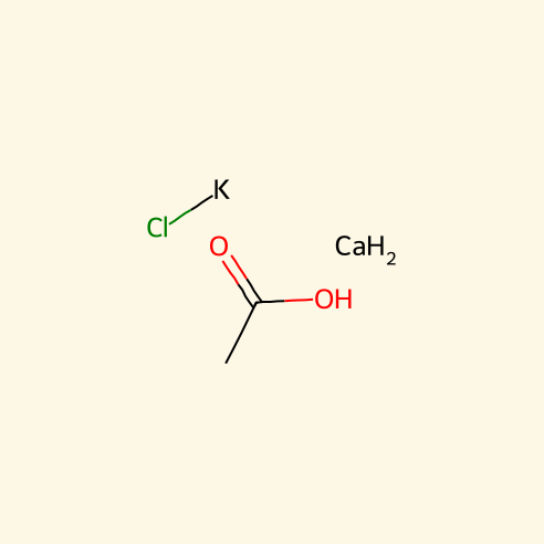 CC(=O)O.[CaH2].[Cl][K]